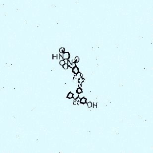 CCC(=C(c1ccc(O)cc1)c1ccc(N2CCN(Cc3cc4c(cc3F)C(=O)N(C3CCC(=O)NC3=O)C4=O)CC2)cc1)c1ccccc1